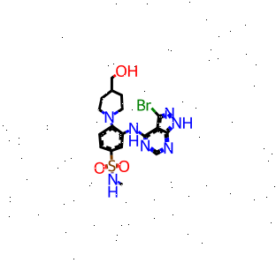 CNS(=O)(=O)c1ccc(N2CCC(CO)CC2)c(Nc2ncnc3[nH]nc(Br)c23)c1